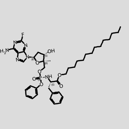 CCCCCCCCCCCCCCOC(=O)[C@H](Cc1ccccc1)N[P@](=O)(OC[C@@]1(C)O[C@@H](n2cnc3c(N)nc(F)nc32)C[C@@H]1O)Oc1ccccc1